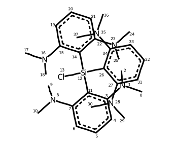 CN(C)c1cccc(N(C)C)c1[Si](Cl)(c1c(N(C)C)cccc1N(C)C)c1c(N(C)C)cccc1N(C)C